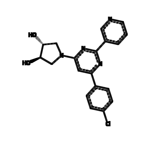 O[C@@H]1CN(c2cc(-c3ccc(Cl)cc3)nc(-c3cccnc3)n2)C[C@H]1O